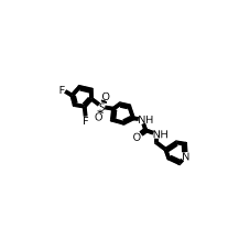 O=C(NCc1ccncc1)Nc1ccc(S(=O)(=O)c2ccc(F)cc2F)cc1